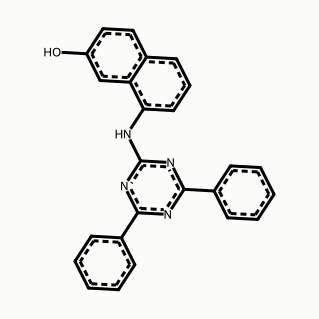 Oc1ccc2cccc(Nc3nc(-c4ccccc4)nc(-c4ccccc4)n3)c2c1